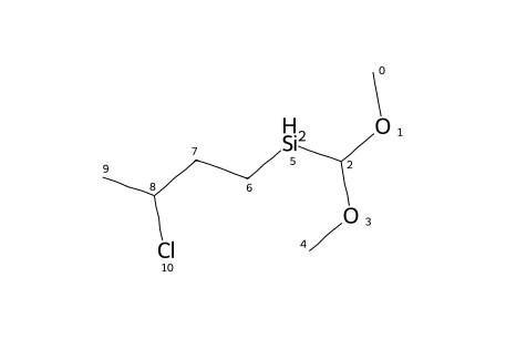 COC(OC)[SiH2]CCC(C)Cl